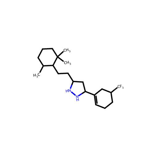 CC1CCCC(C)(C)C1CCC1CC(C2=CCCC(C(F)(F)F)C2)NN1